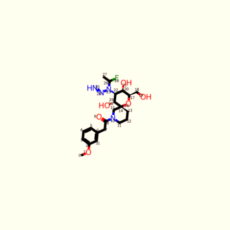 COc1cccc(CC(=O)N2CCC[C@]3(C2)O[C@H](CO)[C@H](O)[C@H](N(N=N)C(C)F)[C@H]3O)c1